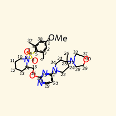 COc1cc(C)c(S(=O)(=O)N2CCCCC2COc2nccc(N3CCC(C)(N4CCOCC4)CC3)n2)c(C)c1